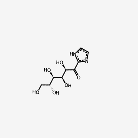 O=C(c1ncc[nH]1)[C@H](O)[C@@H](O)[C@H](O)[C@H](O)CO